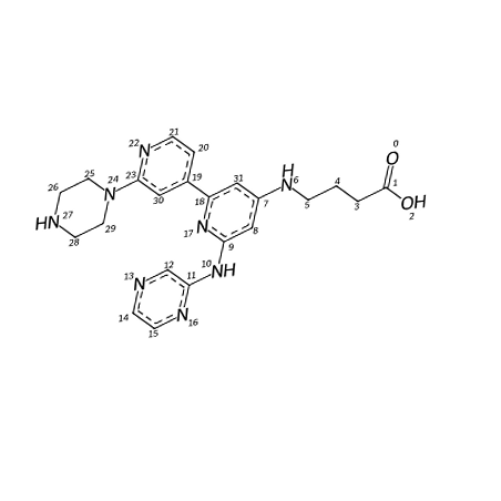 O=C(O)CCCNc1cc(Nc2cnccn2)nc(-c2ccnc(N3CCNCC3)c2)c1